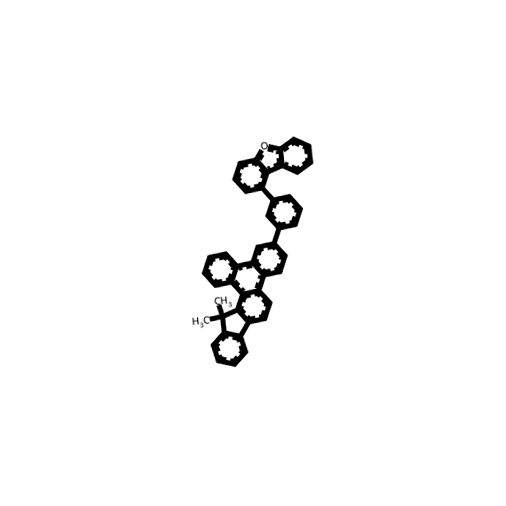 CC1(C)c2ccccc2-c2ccc3c4ccc(-c5cccc(-c6cccc7oc8ccccc8c67)c5)cc4c4ccccc4c3c21